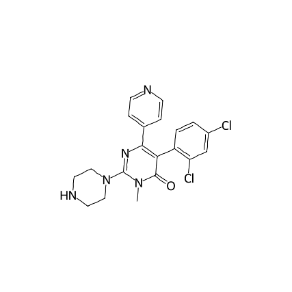 Cn1c(N2CCNCC2)nc(-c2ccncc2)c(-c2ccc(Cl)cc2Cl)c1=O